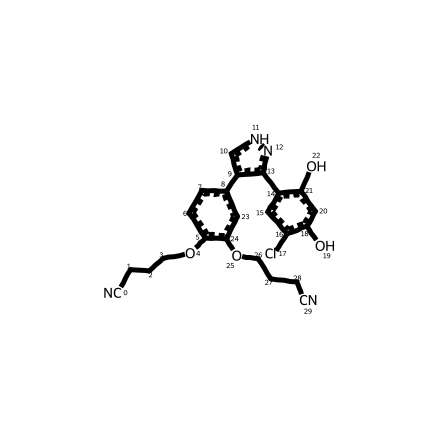 N#CCCCOc1ccc(-c2c[nH]nc2-c2cc(Cl)c(O)cc2O)cc1OCCCC#N